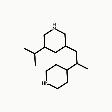 CC(C)C1CNCC(CC(C)C2CCNCC2)C1